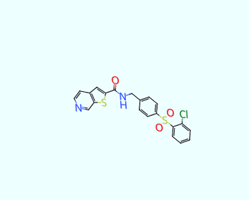 O=C(NCc1ccc(S(=O)(=O)c2ccccc2Cl)cc1)c1cc2ccncc2s1